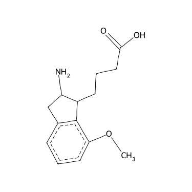 COc1cccc2c1C(CCCC(=O)O)C(N)C2